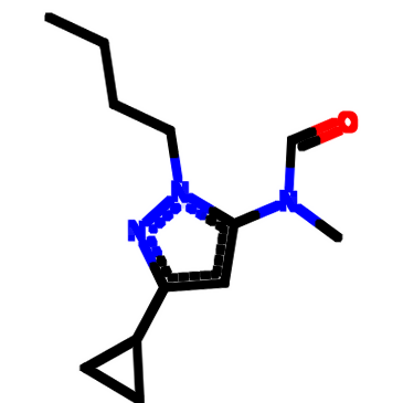 CCCCn1nc(C2CC2)cc1N(C)C=O